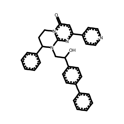 O=c1cc(-c2ccncc2)nc2n1CCC(c1ccccc1)N2CC(O)c1ccc(-c2ccccc2)cc1